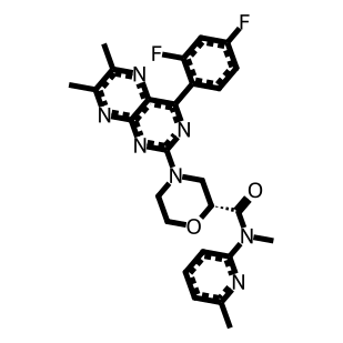 Cc1cccc(N(C)C(=O)[C@H]2CN(c3nc(-c4ccc(F)cc4F)c4nc(C)c(C)nc4n3)CCO2)n1